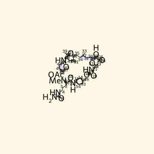 CN[C@@H](CCCNC(N)=O)C(=O)Nc1ccc(COC(=O)NC[C@@H]2C[C@@]3(CO3)[C@H](O)[C@@H](/C=C/C(C)=C/C[C@@H]3O[C@H](C)[C@H](NC(=O)/C=C\[C@H](C)OC(C)=O)C[C@@H]3C)O2)cc1